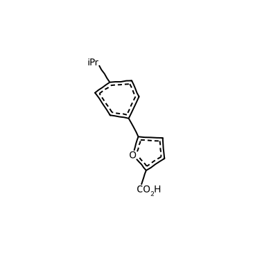 CC(C)c1ccc(-c2ccc(C(=O)O)o2)cc1